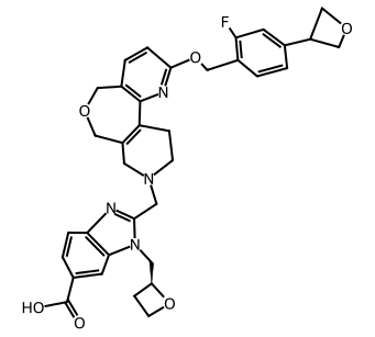 O=C(O)c1ccc2nc(CN3CCC4=C(COCc5ccc(OCc6ccc(C7COC7)cc6F)nc54)C3)n(C[C@@H]3CCO3)c2c1